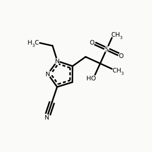 CCn1nc(C#N)cc1CC(C)(O)S(C)(=O)=O